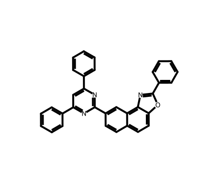 c1ccc(-c2cc(-c3ccccc3)nc(-c3ccc4ccc5oc(-c6ccccc6)nc5c4c3)n2)cc1